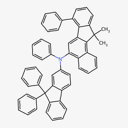 CC1(C)c2cccc(-c3ccccc3)c2-c2cc(N(c3ccccc3)c3ccc4c(c3)C(c3ccccc3)(c3ccccc3)c3ccccc3-4)c3ccccc3c21